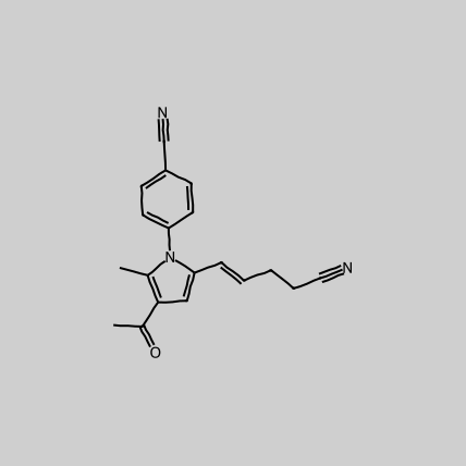 CC(=O)c1cc(C=CCCC#N)n(-c2ccc(C#N)cc2)c1C